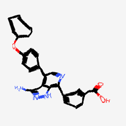 Nc1n[nH]c2c(-c3cccc(C(=O)O)c3)ncc(-c3ccc(Oc4ccccc4)cc3)c12